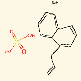 C=CCc1cccc2ccccc12.O=S(=O)(O)O.[NaH]